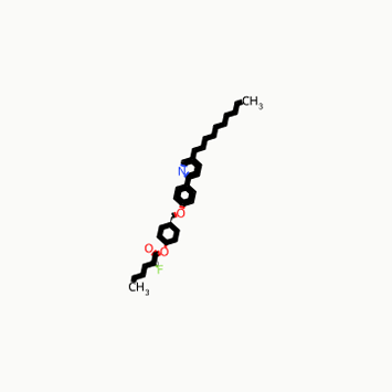 CCCCCCCCCCc1ccc(-c2ccc(OC[C@H]3CC[C@H](OC(=O)[C@@H](F)CCCC)CC3)cc2)nc1